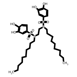 CCCCCCCCCCN(CCN(CCCCCCCCCC)S(=O)(=O)c1ccc(O)c(O)c1)S(=O)(=O)c1ccc(O)c(O)c1